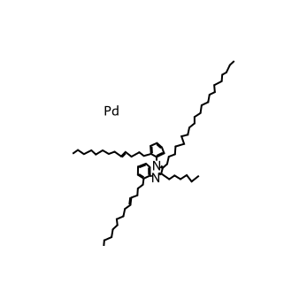 CCCCCCCCC=CCCCc1ccccc1N=C(CCCCCC)C(CCCCCCCCCCCCCCCCCCCCC)=Nc1ccccc1CCCC=CCCCCCCCC.[Pd]